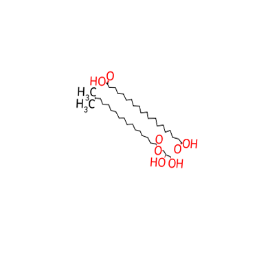 CC(C)CCCCCCCCCCCCCCC(=O)OCC(O)CO.O=C(O)CCCCCCCCCCCCCCCCCCC(=O)O